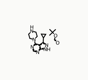 CC(C)(C)OC=O.c1nc(N2CCNCC2)c2c(C3CC3)n[nH]c2n1